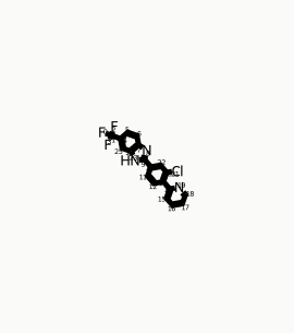 FC(F)(F)c1ccc2nc(-c3ccc(-c4ccccn4)c(Cl)c3)[nH]c2c1